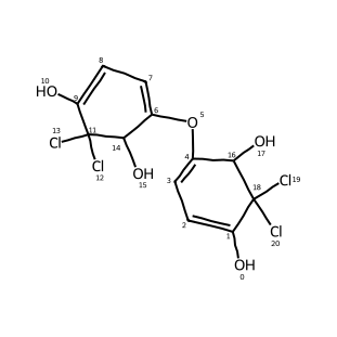 OC1=CC=C(OC2=CC=C(O)C(Cl)(Cl)C2O)C(O)C1(Cl)Cl